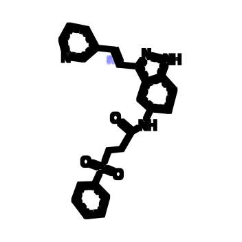 O=C(CCS(=O)(=O)c1ccccc1)Nc1ccc2[nH]nc(/C=C/c3cccnc3)c2c1